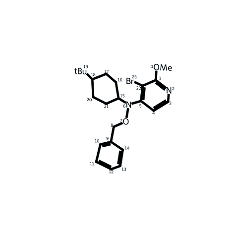 COc1nccc(N(OCc2ccccc2)C2CCC(C(C)(C)C)CC2)c1Br